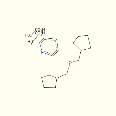 C1CCC(COCC2CCCC2)C1.CC(=O)O.CC(=O)O.c1ccncc1